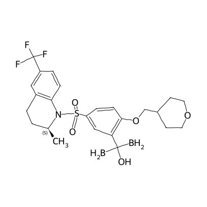 BC(B)(O)c1cc(S(=O)(=O)N2c3ccc(C(F)(F)F)cc3CC[C@@H]2C)ccc1OCC1CCOCC1